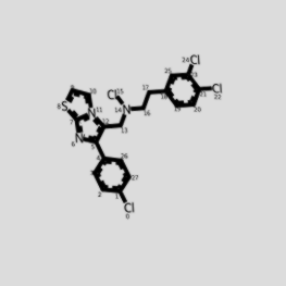 Clc1ccc(-c2nc3sccn3c2CN(Cl)CCc2ccc(Cl)c(Cl)c2)cc1